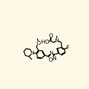 COCc1cc(-c2nc(-c3ccc(F)c(CN(C)CC(=O)O)c3)no2)ccc1N1CCCCC1C